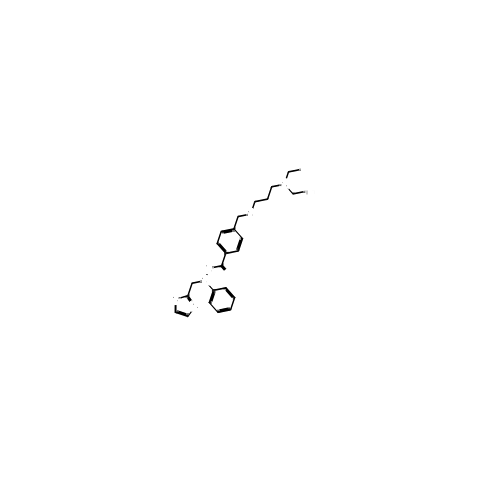 CC(C)CN(CCCNCc1ccc(C(=O)NN(Cc2ncc[nH]2)c2ccccc2)cc1)CC(C)C